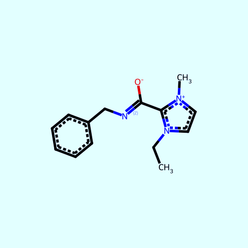 CCn1cc[n+](C)c1/C([O-])=N/Cc1ccccc1